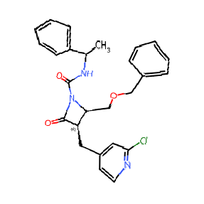 CC(NC(=O)N1C(=O)[C@H](Cc2ccnc(Cl)c2)C1COCc1ccccc1)c1ccccc1